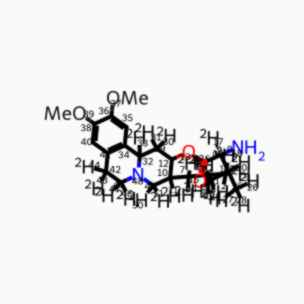 [2H]C([2H])([2H])C([2H])(C)C([2H])([2H])C1([2H])C(OC(=O)[C@@]([2H])(N)C([2H])(C([2H])([2H])[2H])C([2H])([2H])[2H])C([2H])([2H])C2([2H])c3cc(OC)c(OC)cc3C([2H])([2H])C([2H])([2H])N2C1([2H])[2H]